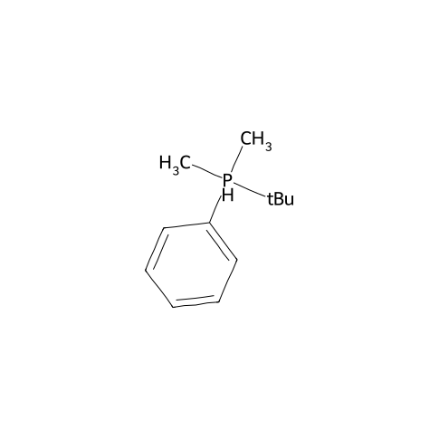 CC(C)(C)[PH](C)(C)c1ccccc1